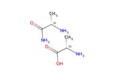 C[C@H](N)C(=O)O.C[C@H](N)C(N)=O